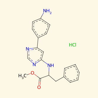 COC(=O)C(Cc1ccccc1)Nc1cc(-c2ccc(N)cc2)ncn1.Cl